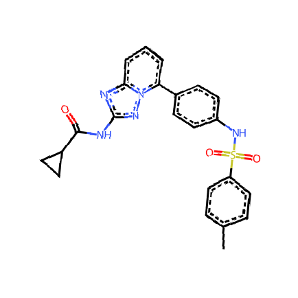 Cc1ccc(S(=O)(=O)Nc2ccc(-c3cccc4nc(NC(=O)C5CC5)nn34)cc2)cc1